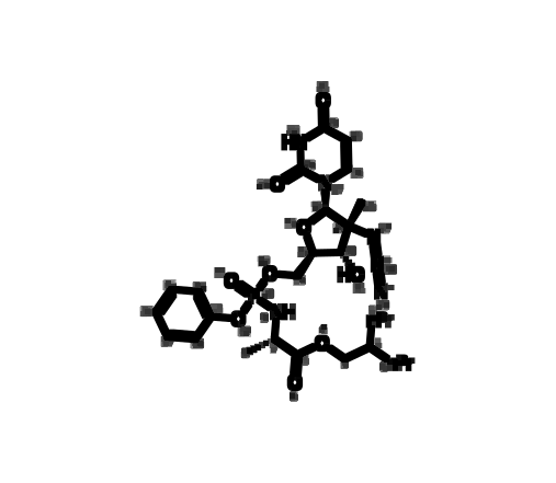 CCCC(CCC)COC(=O)[C@H](C)NP(=O)(OC[C@H]1O[C@@H](n2ccc(=O)[nH]c2=O)[C@](C)(N=[N+]=[N-])[C@@H]1O)Oc1ccccc1